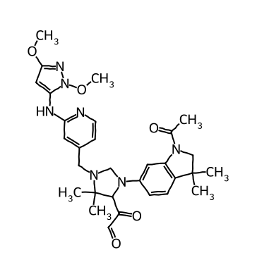 COc1cc(Nc2cc(CN3CN(c4ccc5c(c4)N(C(C)=O)CC5(C)C)C(C(=O)C=O)C3(C)C)ccn2)n(OC)n1